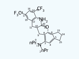 CCCN(CCC)c1cc2c(cc1CC(Cc1cc(C(F)(F)F)cc(C(F)(F)F)c1)C(N)=O)CCC2